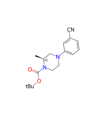 C[C@H]1CN(c2cccc(C#N)c2)CCN1C(=O)OC(C)(C)C